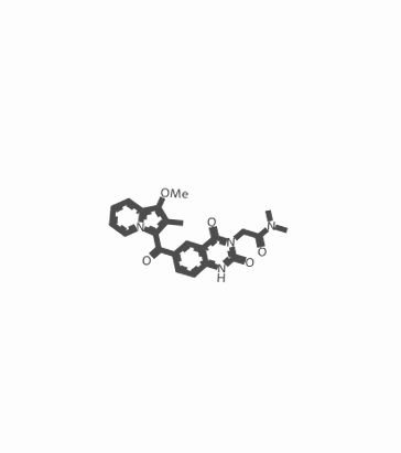 COc1c(C)c(C(=O)c2ccc3[nH]c(=O)n(CC(=O)N(C)C)c(=O)c3c2)n2ccccc12